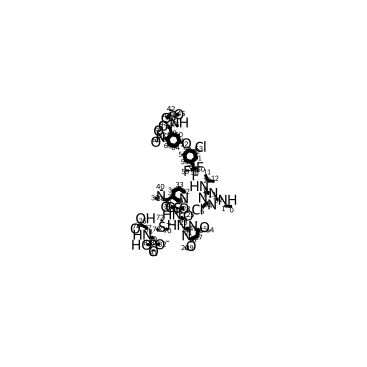 CCNc1nc(Cl)nc(NC(C)C)n1.COc1cc(OC)nc(NC(=O)NS(=O)(=O)c2ncccc2C(=O)N(C)C)n1.CS(=O)(=O)NC(=O)c1cc(Oc2ccc(C(F)(F)F)cc2Cl)ccc1[N+](=O)[O-].C[S+](C)C.O=C(O)CNCP(=O)([O-])O